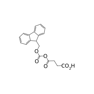 O=C(O)CCC(=O)OC(=O)OCC1c2ccccc2-c2ccccc21